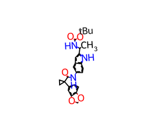 CC(NC(=O)OC(C)(C)C)c1cc2cc(NC(=O)C3(c4ccc5c(c4)OCO5)CC3)ccc2[nH]1